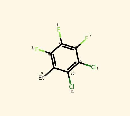 CCc1c(F)c(F)c(F)c(Cl)c1Cl